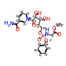 CC(C)OC(=O)[C@H](C)N[P@](=O)(OC[C@H]1O[C@@H]([n+]2cccc(C(N)=O)c2)[C@@H](O)C1O)Oc1ccccc1